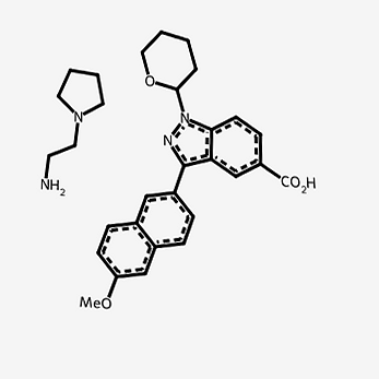 COc1ccc2cc(-c3nn(C4CCCCO4)c4ccc(C(=O)O)cc34)ccc2c1.NCCN1CCCC1